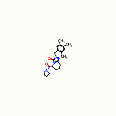 Cc1cc(C)c(Cn2nc3n(c2=O)C(C(=O)N2CCCC2)CCC3)cc1C